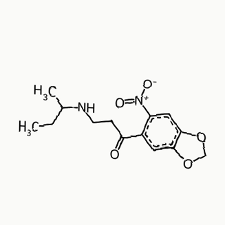 CCC(C)NCCC(=O)c1cc2c(cc1[N+](=O)[O-])OCO2